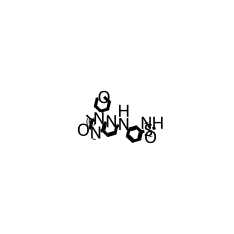 C[C@@H]1C(=O)N(C)c2ccc(Nc3cccc(S(C)(=N)=O)c3)nc2N1C1CCOCC1